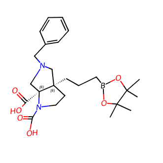 CC1(C)OB(CCC[C@]23CCN(C(=O)O)[C@@]2(C(=O)O)CN(Cc2ccccc2)C3)OC1(C)C